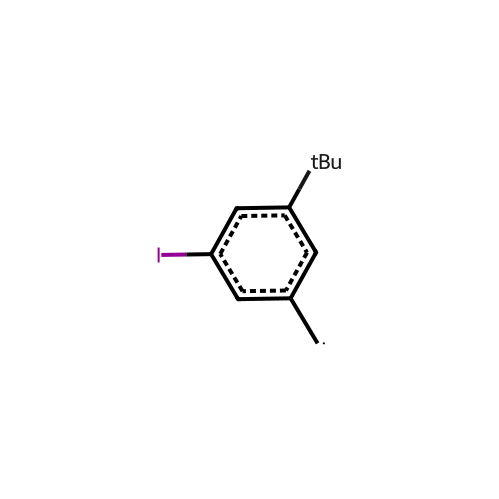 [CH2]c1cc(I)cc(C(C)(C)C)c1